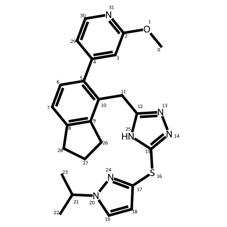 COc1cc(-c2ccc3c(c2Cc2nnc(Sc4ccn(C(C)C)n4)[nH]2)CCC3)ccn1